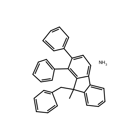 CC1(Cc2ccccc2)c2ccccc2-c2ccc(-c3ccccc3)c(-c3ccccc3)c21.N